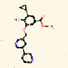 COC(=O)c1cc(OCc2cncc(-c3cccnc3)c2)c(C)c(C2CC2)c1